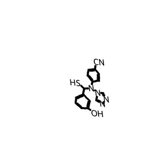 N#Cc1ccc(N(C(S)c2cccc(O)c2)n2cnnc2)cc1